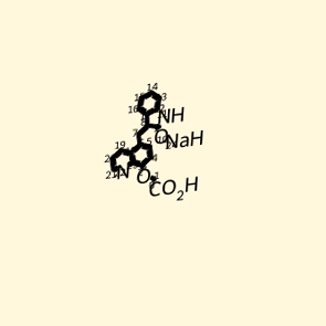 O=C(O)COc1ccc(C=C2C(=O)Nc3ccccc32)c2cccnc12.[NaH]